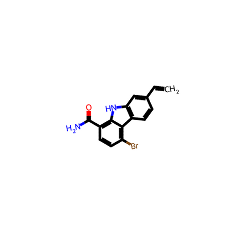 C=Cc1ccc2c(c1)[nH]c1c(C(N)=O)ccc(Br)c12